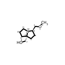 COC[C@H]1CC[C@@]2(CO)CCCN12